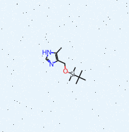 Cc1[nH]cnc1CO[Si](C)(C)C(C)(C)C